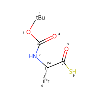 CC(C)[C@H](NC(=O)OC(C)(C)C)C(=O)S